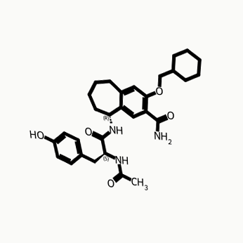 CC(=O)N[C@@H](Cc1ccc(O)cc1)C(=O)N[C@@H]1CCCCc2cc(OCC3CCCCC3)c(C(N)=O)cc21